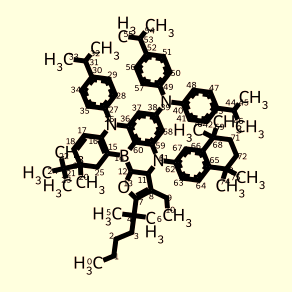 CCCCC(C)(C)C1=C(CC)C2C(O1)B1C3=C(C=CC(C)(C(C)(C)C)C3)N(c3ccc(C(C)C)cc3)c3cc(N(c4ccc(C(C)C)cc4)c4ccc(C(C)C)cc4)cc(c31)N2c1ccc2c(c1)C(C)(C)CCC2(C)C